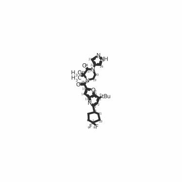 CC(C)(C)c1cc(C2CCC(F)(F)CC2)nc2cc(C(=O)N3CCN(c4cn[nH]c4)C(=O)C3(C)C)oc12